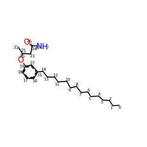 CCCCCCCCCCCCCCCc1cccc(OC(C)CC([NH])=O)c1